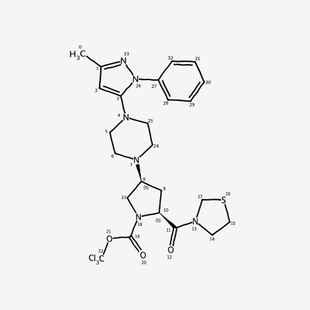 Cc1cc(N2CCN([C@H]3C[C@@H](C(=O)N4CCSC4)N(C(=O)OC(Cl)(Cl)Cl)C3)CC2)n(-c2ccccc2)n1